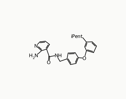 CCCC(C)c1cccc(Oc2ccc(CNC(=O)c3cccnc3N)cc2)c1